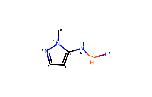 Cn1nccc1NPI